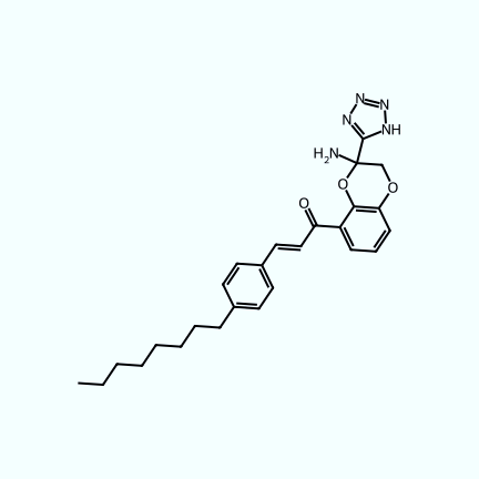 CCCCCCCCc1ccc(C=CC(=O)c2cccc3c2OC(N)(c2nnn[nH]2)CO3)cc1